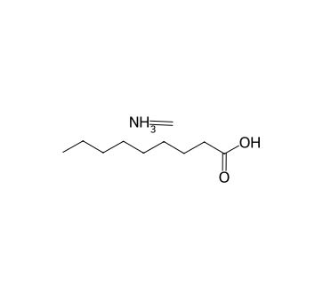 C=C.CCCCCCCCC(=O)O.N